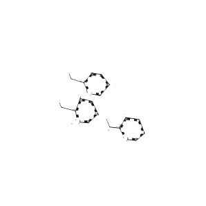 [In+3].[O-]Cc1ccccn1.[O-]Cc1ccccn1.[O-]Cc1ccccn1